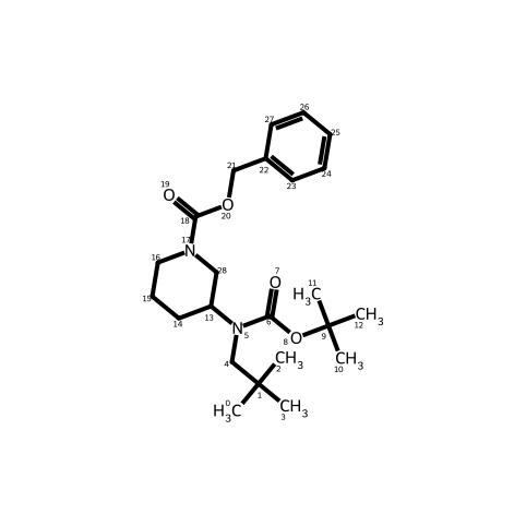 CC(C)(C)CN(C(=O)OC(C)(C)C)C1CCCN(C(=O)OCc2ccccc2)C1